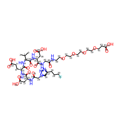 CC(C)[C@H](NC(=O)[C@H](CCC(=O)O)NC(=O)[C@H](CC(=O)O)NC(=O)Cn1cc(CCCF)nn1)C(=O)N[C@@H](CC(=O)O)C(=O)NCC(=O)NCCOCCOCCOCCOCCC(=O)O